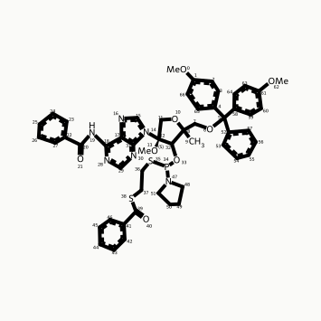 COc1ccc(C(OCC2(C)OC[C@@](OC)(n3cnc4c(NC(=O)c5ccccc5)ncnc43)C2OP(SCCSC(=O)c2ccccc2)N2CCCC2)(c2ccccc2)c2ccc(OC)cc2)cc1